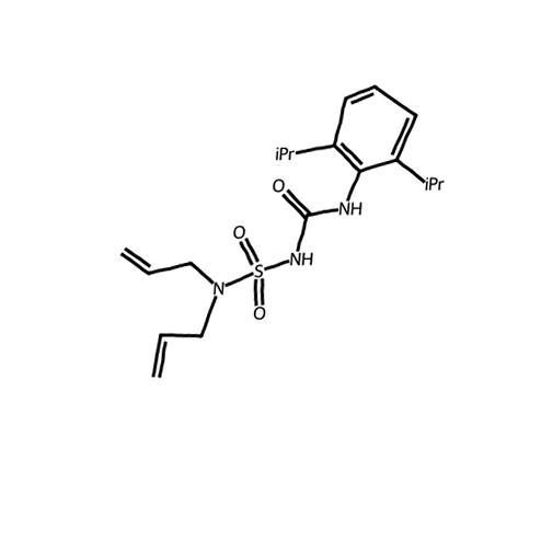 C=CCN(CC=C)S(=O)(=O)NC(=O)Nc1c(C(C)C)cccc1C(C)C